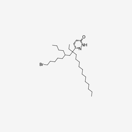 CCCCCCCCCCCCC(CC)(CC(CCCC)CCCCCBr)c1ccc(=O)[nH]n1